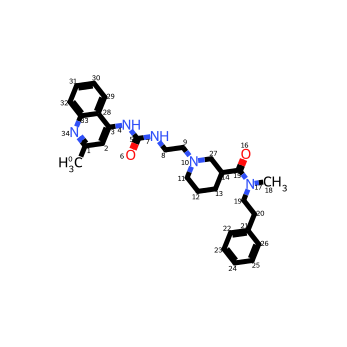 Cc1cc(NC(=O)NCCN2CCCC(C(=O)N(C)CCc3ccccc3)C2)c2ccccc2n1